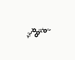 CCOc1cccc([C@@H](C)NC(C)c2cc(-c3ccc(C)c(CCC(=O)OC(C)C)c3)c3ccccc3c2)c1